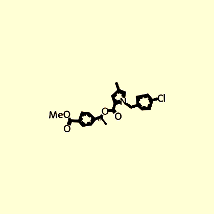 COC(=O)c1ccc([C@H](C)OC(=O)c2cc(C)cn2Cc2ccc(Cl)cc2)cc1